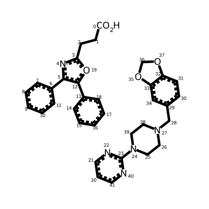 O=C(O)CCc1nc(-c2ccccc2)c(-c2ccccc2)o1.c1cnc(N2CCN(Cc3ccc4c(c3)OCO4)CC2)nc1